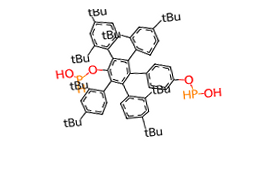 CC(C)(C)c1ccc(-c2c(OPO)c(-c3ccc(C(C)(C)C)cc3C(C)(C)C)c(-c3ccc(C(C)(C)C)cc3C(C)(C)C)c(-c3ccc(OPO)cc3)c2-c2ccc(C(C)(C)C)cc2C(C)(C)C)c(C(C)(C)C)c1